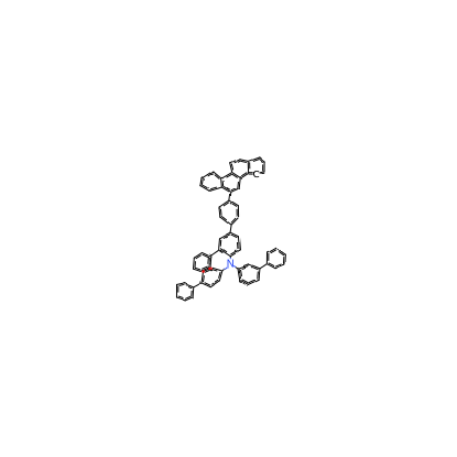 c1ccc(-c2ccc(N(c3cccc(-c4ccccc4)c3)c3ccc(-c4ccc(-c5cc6c7ccccc7ccc6c6ccccc56)cc4)cc3-c3ccccc3)cc2)cc1